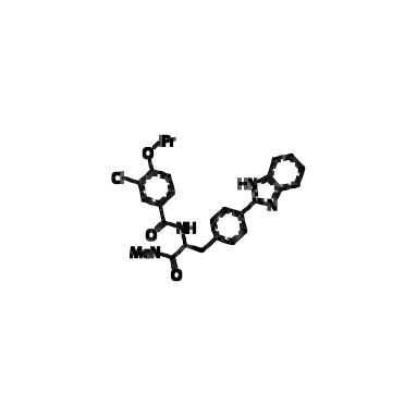 CNC(=O)[C@H](Cc1ccc(-c2nc3ccccc3[nH]2)cc1)NC(=O)c1ccc(OC(C)C)c(Cl)c1